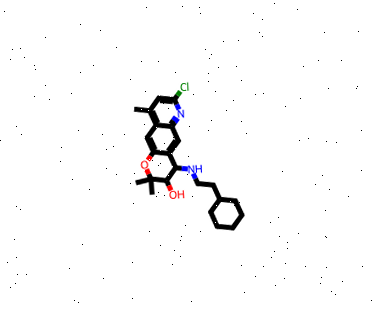 Cc1cc(Cl)nc2cc3c(cc12)OC(C)(C)C(O)C3NCCC1CCCCC1